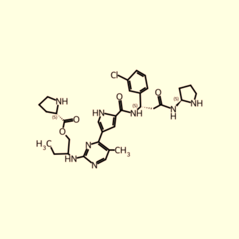 CCC(COC(=O)[C@@H]1CCCN1)Nc1ncc(C)c(-c2c[nH]c(C(=O)N[C@@H](CC(=O)N[C@H]3CCCN3)c3cccc(Cl)c3)c2)n1